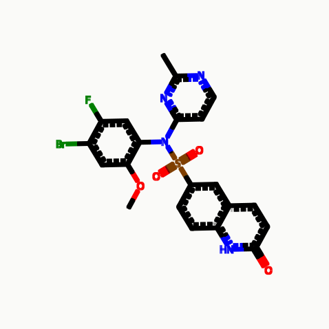 COc1cc(Br)c(F)cc1N(c1ccnc(C)n1)S(=O)(=O)c1ccc2[nH]c(=O)ccc2c1